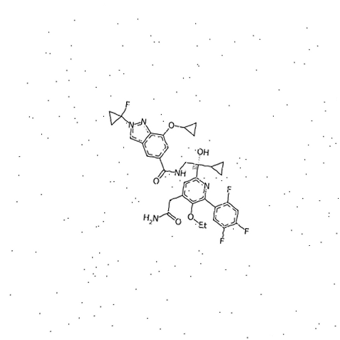 CCOc1c(CC(N)=O)cc([C@@](O)(CNC(=O)c2cc(OC3CC3)c3nn(C4(F)CC4)cc3c2)C2CC2)nc1-c1cc(F)c(F)cc1F